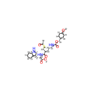 COC(=O)[C@H](Cc1c[nH]c2ccccc12)NC(=O)C(CCCNC(=O)OCc1ccc(OC)cc1)CSC(C)=O